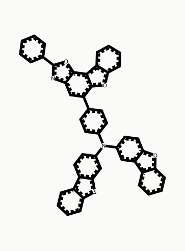 c1ccc(-c2nc3cc(-c4ccc(N(c5ccc6c(c5)sc5ccccc56)c5ccc6oc7ccccc7c6c5)cc4)c4oc5ccccc5c4c3o2)cc1